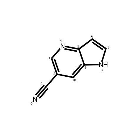 N#Cc1cnc2cc[nH]c2c1